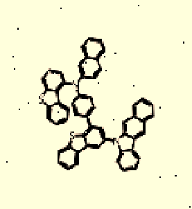 c1ccc2cc(N(c3ccc(-c4cc(-n5c6ccccc6c6cc7ccccc7cc65)cc5c4sc4ccccc45)cc3)c3cccc4sc5ccccc5c34)ccc2c1